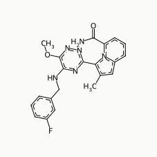 COc1nnc(-c2c(C)cc3cccc(C(N)=O)n23)nc1NCc1cccc(F)c1